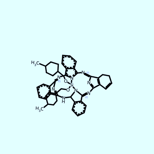 CC1CCC(CO[Si]2(OCC3CCC(C)CC3)N3/C4=N\C5=NC(=N\c6c7ccccc7c(n62)/N=C2\N=C(NC3c3ccccc34)c3ccccc32)/C2=C5C=CCC2)CC1